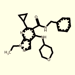 CCn1ncc2c(NC3CCOCC3)c(C(=O)NCc3ccccc3)c(C3CC3)nc21